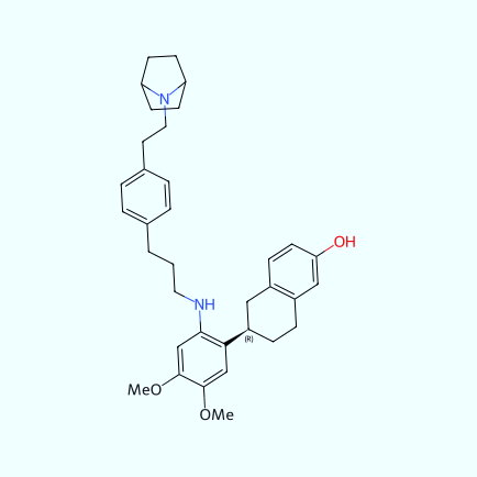 COc1cc(NCCCc2ccc(CCN3C4CCC3CC4)cc2)c([C@@H]2CCc3cc(O)ccc3C2)cc1OC